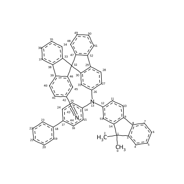 CC1(C)c2ccccc2-c2ccc(N(c3ccc(-c4ccccc4)cc3)c3ccc4c(c3)C3(c5ccccc5-c5ccc(C#N)cc53)c3ccccc3-4)cc21